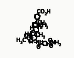 C=C(C)[C@@H]1CC[C@]2(CNC(=O)c3ccc(S(N)(=O)=O)cc3)CC[C@]3(C)[C@H](CC[C@@H]4[C@@]5(C)CC=C(c6ccc(C(=O)O)cc6)C(C)(C)[C@@H]5CC[C@]43C)[C@@H]12